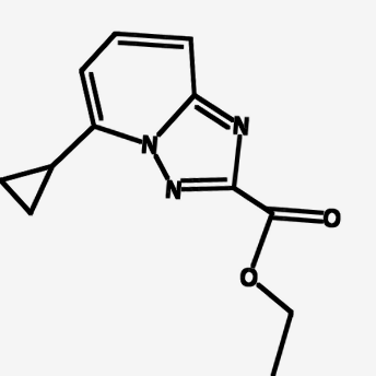 CCOC(=O)c1nc2cccc(C3CC3)n2n1